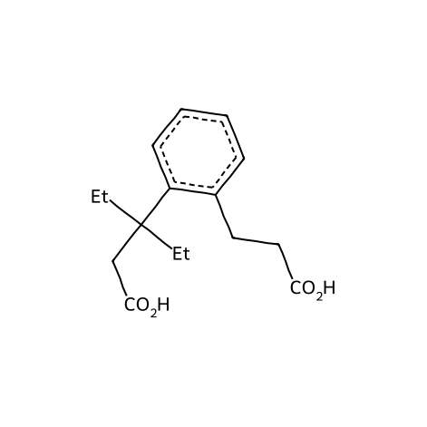 CCC(CC)(CC(=O)O)c1ccccc1CCC(=O)O